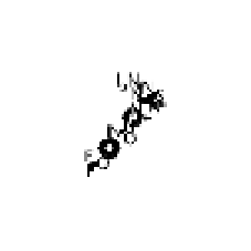 C[C@H]1CN(C(=O)Nc2ccc(OC(F)F)cc2)CCN1c1nc(N)nc2scnc12